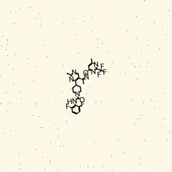 CC(=NOc1cc(C)nc(C(F)(F)F)n1)c1cnc(C)nc1C1CCN(C(=O)Nc2c(F)cccc2F)CC1